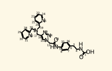 O=C(O)NCCc1ccc(NC(=O)Cn2cc(CN(Cc3ccccn3)Cc3ccccn3)nn2)cc1